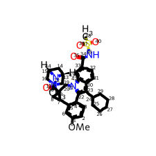 COc1ccc2c(c1)C1CC1(C(=O)N1[C@@H]3C[C@H]1CN(C)C3)Cn1c-2c(C2CCCCC2)c2ccc(C(=O)NS(C)(=O)=O)cc21